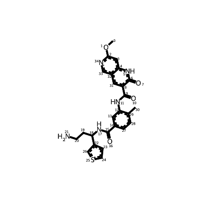 COc1cc2[nH]c(=O)c(C(=O)Nc3cc(C(=O)NC(CCN)c4ccsc4)ccc3C)cc2cn1